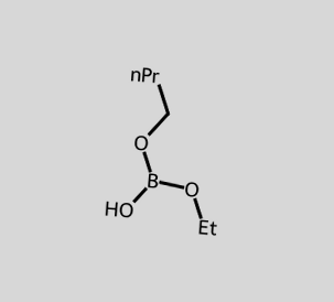 CCCCOB(O)OCC